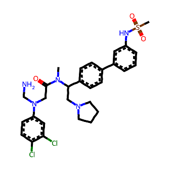 CN(C(=O)CN(CN)c1ccc(Cl)c(Cl)c1)C(CN1CCCC1)c1ccc(-c2cccc(NS(C)(=O)=O)c2)cc1